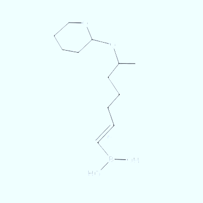 CC(CCC/C=C/B(O)O)OC1CCCCO1